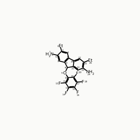 CCc1cc2c(cc1N)C(Oc1c(F)c(F)c(F)c(F)c1F)c1cc(N)c(CC)cc1-2